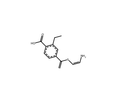 C=C(S/C=C\N)c1ccc(C(=O)O)c(CC)c1